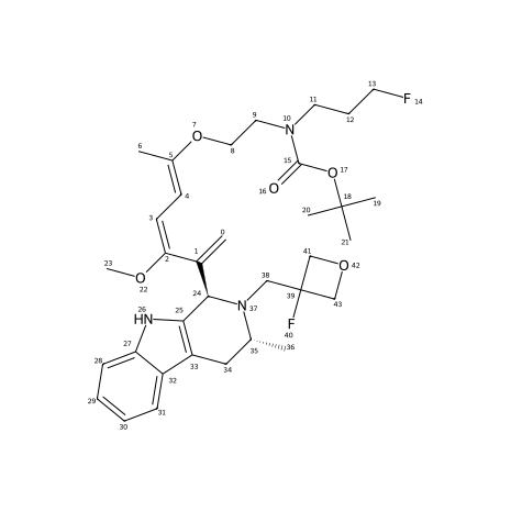 C=C(/C(=C\C=C(/C)OCCN(CCCF)C(=O)OC(C)(C)C)OC)[C@@H]1c2[nH]c3ccccc3c2C[C@@H](C)N1CC1(F)COC1